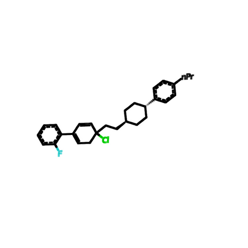 CCCc1ccc([C@H]2CC[C@H](CCC3(Cl)C=CC(c4ccccc4F)=CC3)CC2)cc1